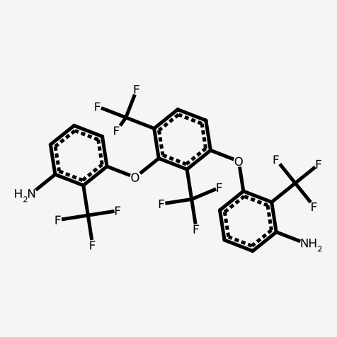 Nc1cccc(Oc2ccc(C(F)(F)F)c(Oc3cccc(N)c3C(F)(F)F)c2C(F)(F)F)c1C(F)(F)F